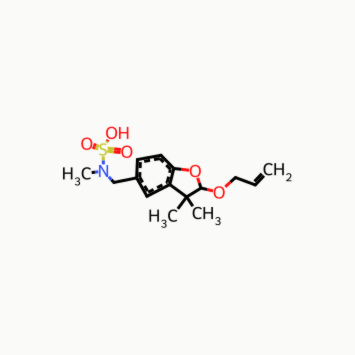 C=CCOC1Oc2ccc(CN(C)S(=O)(=O)O)cc2C1(C)C